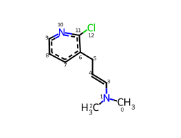 CN(C)/C=C/Cc1cccnc1Cl